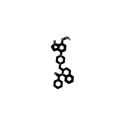 COc1ccc(N2CCN(CC3CCc4ccccc4N3C(=O)C3CCCCC3)CC2)c2cc[nH]c12